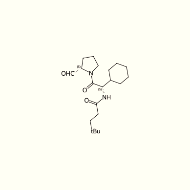 CC(C)(C)CCC(=O)N[C@H](C(=O)N1CCC[C@H]1C=O)C1CCCCC1